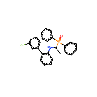 CC(Nc1ccccc1-c1cccc(F)c1)P(=O)(c1ccccc1)c1ccccc1